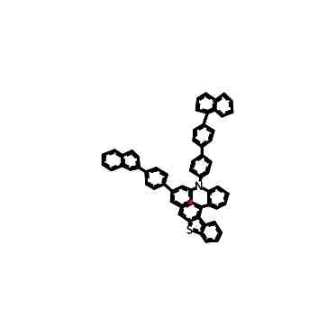 c1cc(-c2ccc(-c3ccc4ccccc4c3)cc2)cc(N(c2ccc(-c3ccc(-c4cccc5ccccc45)cc3)cc2)c2ccccc2-c2cccc3sc4ccccc4c23)c1